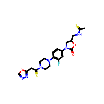 CC(=S)NCC1CN(c2ccc(N3CCN(C(=S)Cc4nnco4)CC3)c(F)c2)C(=O)O1